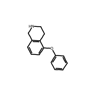 c1ccc(Oc2cccc3c2CCNC3)cc1